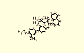 COc1ccc(-c2ccc(CN(C(=O)CC(C)(C)C)c3ncnc4ccccc34)cc2)cc1C